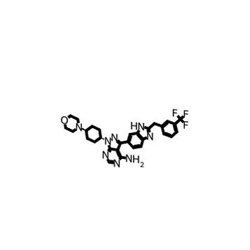 Nc1ncnc2c1c(-c1ccc3nc(Cc4cccc(C(F)(F)F)c4)[nH]c3c1)nn2[C@H]1CC[C@H](N2CCOCC2)CC1